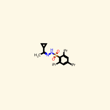 CC(=NNS(=O)(=O)c1c(C(C)C)cc(C(C)C)cc1C(C)C)C1CC1